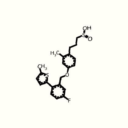 Cc1ccc(-c2ccc(F)cc2COc2ccc(CCCS(=O)O)c(C)c2)s1